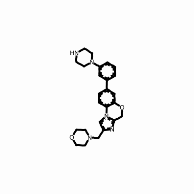 c1cc(-c2ccc3c(c2)OCc2nc(CN4CCOCC4)cn2-3)cc(N2CCNCC2)c1